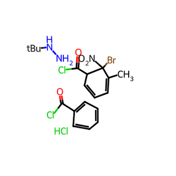 CC(C)(C)NN.CC1=CC=CC(C(=O)Cl)C1(Br)[N+](=O)[O-].Cl.O=C(Cl)c1ccccc1